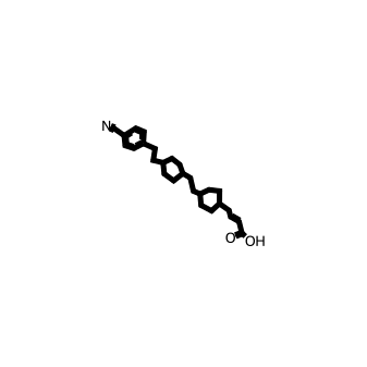 N#Cc1ccc(CCC2CCC(CCC3CCC(CC=CC(=O)O)CC3)CC2)cc1